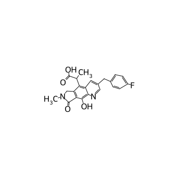 CC(C(=O)O)c1c2c(c(O)c3ncc(Cc4ccc(F)cc4)cc13)C(=O)N(C)C2